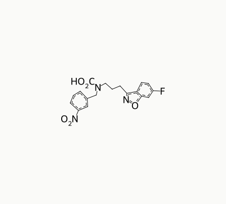 O=C(O)N(CCCc1noc2cc(F)ccc12)Cc1cccc([N+](=O)[O-])c1